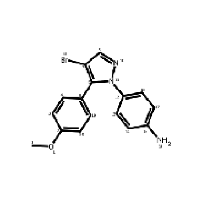 COc1ccc(-c2c(Br)cnn2-c2ccc(N)cc2)cc1